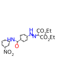 CCOC(=O)C(=NNc1ccc(C(=O)Nc2cccc([N+](=O)[O-])c2)cc1)C(=O)OCC